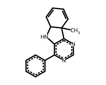 CC12C=CC=CC1Nc1c(-c3ccccc3)ncnc12